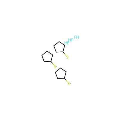 F.F.F.[S]C1CCCC1.[S]C1CCCC1.[S]C1CCCC1